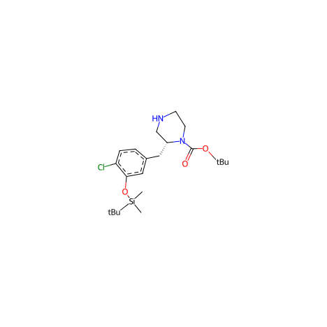 CC(C)(C)OC(=O)N1CCNC[C@H]1Cc1ccc(Cl)c(O[Si](C)(C)C(C)(C)C)c1